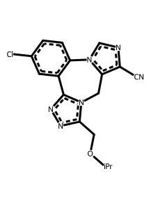 CC(C)OCc1nnc2n1Cc1c(C#N)ncn1-c1ccc(Cl)cc1-2